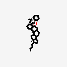 CCCCC1CCC2C3CCC4C[C@H](O[Si](c5ccccc5)(c5ccccc5)C(C)(C)C)CC[C@]4(C)C3CC[C@]12C